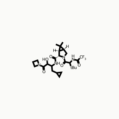 CC(C)(C)C(NC(=O)C(F)(F)F)C(=O)N1C[C@H]2[C@@H]([C@H]1C(=O)NC(CC1CC1)C(O)C(=O)N1CCC1)C2(C)C